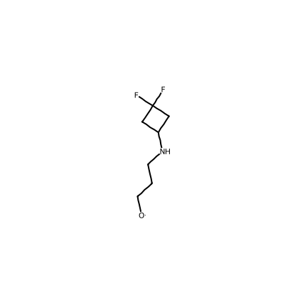 [O]CCCNC1CC(F)(F)C1